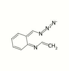 C=C/N=C1/C=CC=C/C1=C/N=[N+]=[N-]